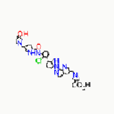 Cc1c(Nc2nccc3cc(CN4CC[C@@H](C(=O)O)C4)cnc23)cccc1-c1cccc(NC(=O)c2ccc(CN3CC[C@@H](O)C3)cn2)c1Cl